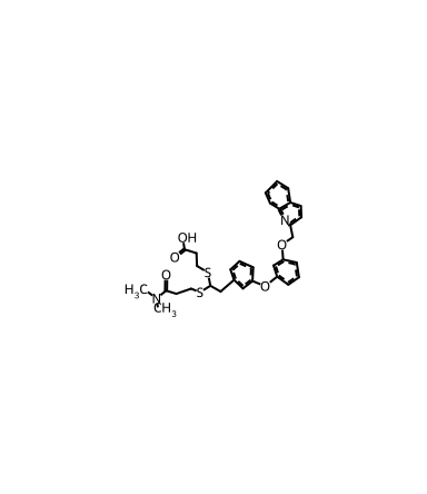 CN(C)C(=O)CCSC(Cc1cccc(Oc2cccc(OCc3ccc4ccccc4n3)c2)c1)SCCC(=O)O